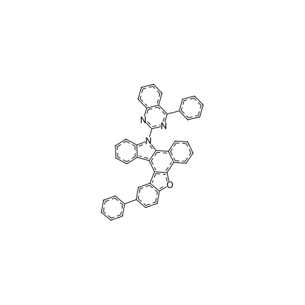 c1ccc(-c2ccc3oc4c5ccccc5c5c(c6ccccc6n5-c5nc(-c6ccccc6)c6ccccc6n5)c4c3c2)cc1